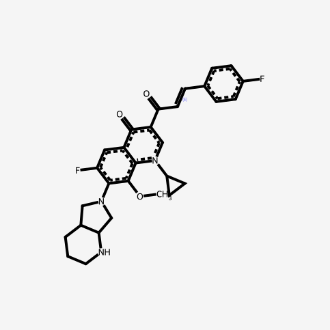 COc1c(N2CC3CCCNC3C2)c(F)cc2c(=O)c(C(=O)/C=C/c3ccc(F)cc3)cn(C3CC3)c12